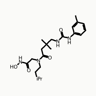 Cc1cccc(NC(=O)NCC(C)(C)CC(=O)N(CCC(C)C)CC(=O)NO)c1